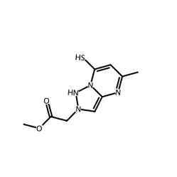 COC(=O)CN1C=C2N=C(C)C=C(S)N2N1